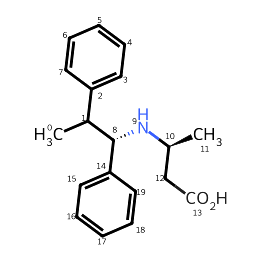 CC(c1ccccc1)[C@H](N[C@@H](C)CC(=O)O)c1ccccc1